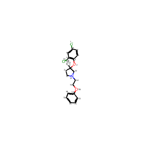 CC1(Oc2ccc(Cl)cc2Cl)CCN(CCOc2ccccc2)C1